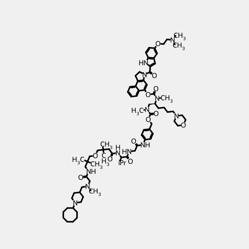 CC(C)C(NC(=O)CC(C)(C)COCC(C)(C)CNC(=O)CN(C)CC1CCN(C2CCCCCCC2)CC1)C(=O)NCC(=O)Nc1ccc(COC(=O)N(C)C[C@H](CCCCN2CCOCC2)N(C)C(=O)Oc2cc3c(c4ccccc24)CCN3C(=O)c2cc3cc(OCCN(C)C)ccc3[nH]2)cc1